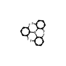 Fc1cccc(F)c1B(c1c(F)cccc1F)c1c(F)cccc1F